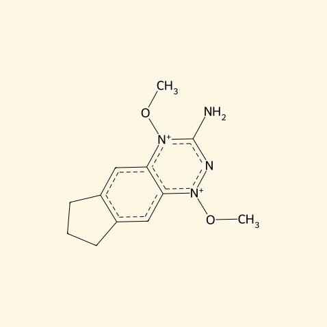 CO[n+]1nc(N)[n+](OC)c2cc3c(cc21)CCC3